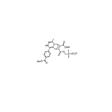 COC(=O)c1ccc(C2=C3C4CC(C3C(C)=NN2)C(C(=O)OC)C4C(=O)OCC(F)(F)S(=O)(=O)O)cc1